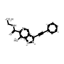 O=C(O)CNC(=O)c1ncc2c(C#Cc3ccccc3)noc2c1O